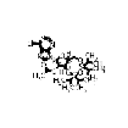 CC(=O)O[C@H]1[C@@H]2O[Si](C(C)C)(C(C)C)O[Si](C(C)C)(C(C)C)OC[C@H]2O[C@H]1n1cnc2c(Cl)ncnc21